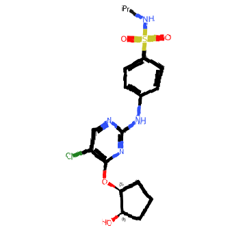 CC(C)NS(=O)(=O)c1ccc(Nc2ncc(Cl)c(O[C@H]3CCC[C@H]3O)n2)cc1